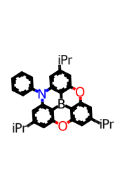 CC(C)c1cc2c3c(c1)Oc1cc(C(C)C)cc4c1B3c1c(cc(C(C)C)cc1N4c1ccccc1)O2